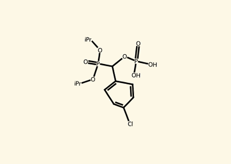 CC(C)OP(=O)(OC(C)C)C(OP(=O)(O)O)c1ccc(Cl)cc1